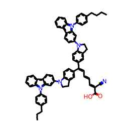 CCCCc1ccc(-n2c3ccccc3c3ccc(N4CCc5cc(/C(=C/C=C/C=C(\C#N)C(=O)O)c6ccc7c(c6)CCN7c6ccc7c8ccccc8n(-c8ccc(CCC)cc8)c7c6)ccc54)cc32)cc1